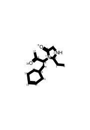 CCC1NCC(=O)N1[C@@H](CC1CC=CCC1)C(C)=O